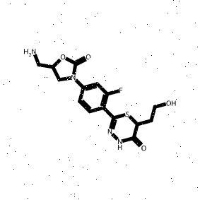 NCC1CN(c2ccc(C3=NNC(=O)C(CCO)S3)c(F)c2)C(=O)O1